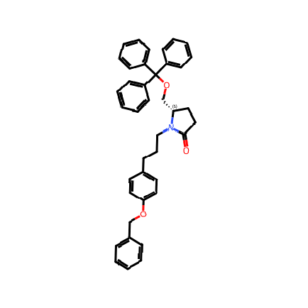 O=C1CC[C@@H](COC(c2ccccc2)(c2ccccc2)c2ccccc2)N1CCCc1ccc(OCc2ccccc2)cc1